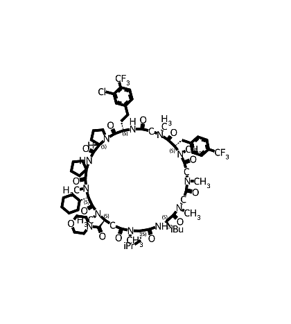 CC[C@H](C)[C@@H]1NC(=O)[C@H](CC(C)C)N(C)C(=O)C[C@@H](C(=O)N2CCOCC2)N(C)C(=O)[C@H](C2CCCCC2)N(C)C(=O)C2(CCCC2)NC(=O)[C@@H]2CCCN2C(=O)[C@H](CCc2ccc(C(F)(F)F)c(Cl)c2)NC(=O)CN(C)C(=O)[C@H](Cc2ccc(C(F)(F)F)cc2)N(C)C(=O)CN(C)C(=O)CN(C)C1=O